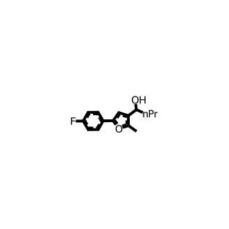 CCCC(O)c1cc(-c2ccc(F)cc2)oc1C